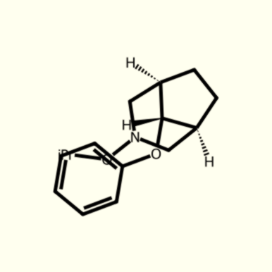 CC(C)ON1C[C@H]2CC[C@@H](C1)[C@@H]2Oc1ccccc1